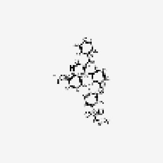 CC(C)CS(=O)(=O)c1cccc(Oc2cccc(-c3c(Cc4ccccc4)cnc4c(C(F)(F)F)cccc34)c2)c1